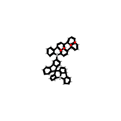 c1ccc(-c2ccc(-c3ccccc3N(c3ccc(-c4ccccc4)cc3)c3ccc4c(c3)-c3ccccc3C43c4ccccc4-n4c5ccccc5c5cccc3c54)cc2)cc1